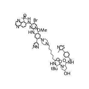 COc1cc(N2CCN(CCCCCCC(=O)NC(C(=O)N3CC(O)CC3C(=O)N[C@@H](C)c3ccc(-c4scnc4C)cc3)C(C)(C)C)CC2)c(-c2cnn(C)c2)cc1Nc1ncc(Br)c(Nc2ccc3nccnc3c2P(C)(C)=O)n1